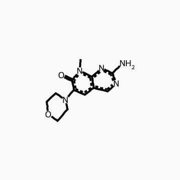 Cn1c(=O)c(N2CCOCC2)cc2cnc(N)nc21